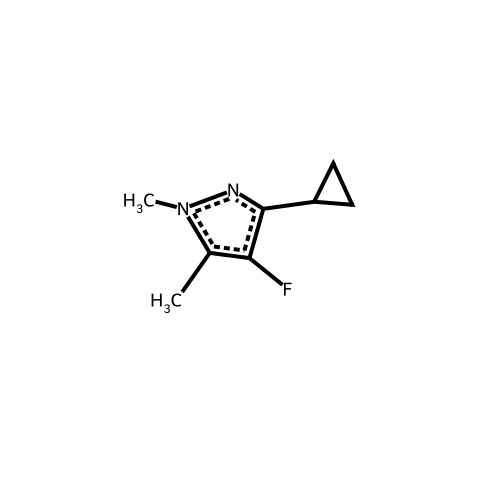 Cc1c(F)c(C2CC2)nn1C